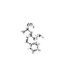 CN1/C(=C/C(=O)C(Cl)(Cl)Cl)C=Cc2ccccc21